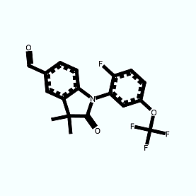 CC1(C)C(=O)N(c2cc(OC(F)(F)F)ccc2F)c2ccc(C=O)cc21